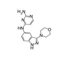 Nc1nccc(Nc2ccc3[nH]nc(N4CCOCC4)c3c2)n1